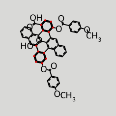 COc1ccc(C(=O)Oc2ccc(C(=O)O)c(-c3c(-c4c(-c5ccccc5)cc5ccccc5c4-c4cc(OC(=O)c5ccc(OC)cc5)ccc4C(=O)O)c(-c4ccccc4)cc4ccccc34)c2)cc1